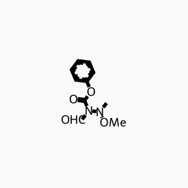 CON(C)N(C=O)C(=O)Oc1ccccc1